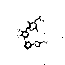 CC(O)CN(CC(C)O)C(=O)/C=C/c1ccc(Sc2cccc(N3CCC(C(=O)O)CC3)c2)c(C(F)(F)F)c1C(F)(F)F